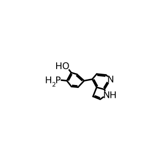 Oc1cc(-c2ccnc3[nH]ccc23)ccc1P